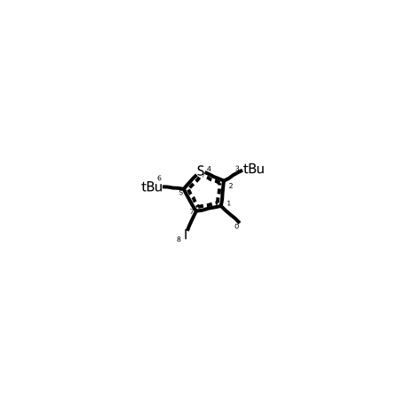 Cc1c(C(C)(C)C)sc(C(C)(C)C)c1I